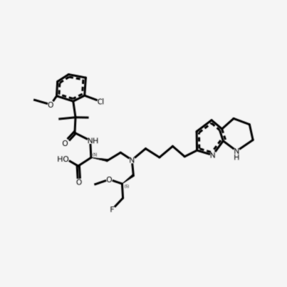 COc1cccc(Cl)c1C(C)(C)C(=O)N[C@@H](CCN(CCCCc1ccc2c(n1)NCCC2)C[C@@H](CF)OC)C(=O)O